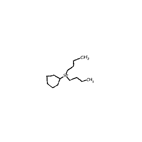 CCC[CH2][Sn]([CH2]CCC)[CH]1CCCCC1